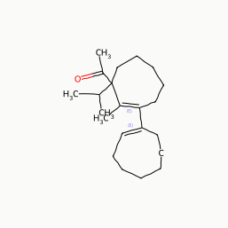 CC(=O)C1(C(C)C)CCCCCC(/C2=C/CCCCCC2)=C\1C